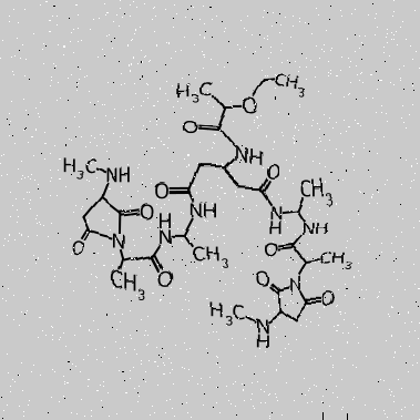 CCOC(C)C(=O)NC(CC(=O)NC(C)NC(=O)C(C)N1C(=O)CC(NC)C1=O)CC(=O)NC(C)NC(=O)C(C)N1C(=O)CC(NC)C1=O